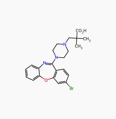 CC(C)(CN1CCN(C2=Nc3ccccc3Oc3cc(Br)ccc32)CC1)C(=O)O